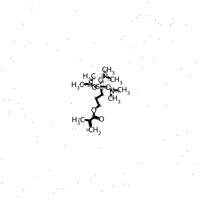 C=C(C)C(=O)OCCC[Si](ON(C)C)(ON(C)C)ON(C)C